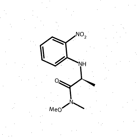 CON(C)C(=O)[C@H](C)Nc1ccccc1[N+](=O)[O-]